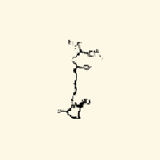 CC(C)OC(=O)CCCCCN1C(=O)C=CC1=O